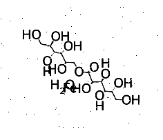 O.O=C(OC[C@@H](O)[C@@H](O)[C@H](O)[C@H](O)CO)[C@H](O)[C@@H](O)[C@H](O)[C@H](O)CO.[Fe]